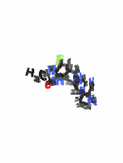 Cc1nc2c(F)cc(CN3CCN(c4cccnc4C#N)CC3)cc2[nH]c1=O